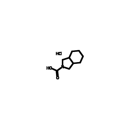 Cl.O=C(O)N1CC2CCCCC2C1